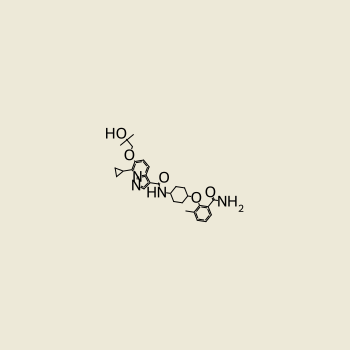 Cc1cccc(C(N)=O)c1OC1CCC(NC(=O)c2cnn3c(C4CC4)c(OCC(C)(C)O)ccc23)CC1